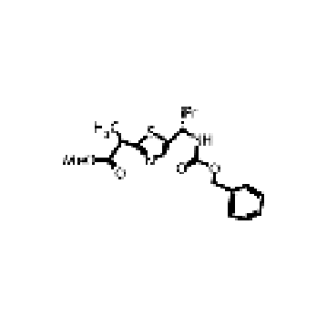 COC(=O)C(C)c1ncc([C@@H](NC(=O)OCc2ccccc2)C(C)C)s1